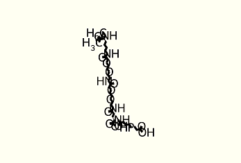 CN[C@@H](CCCCNC(=O)COCCOCCNC(=O)COCCOCCNC(=O)CC[C@H](NC(=O)CCCPCCC(=O)O)C(=O)O)C(C)=O